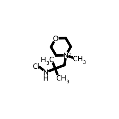 CC(C)(C[N+]1(C)CCOCC1)NCl